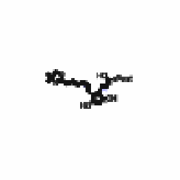 CCCCC[C@H](O)/C=C/[C@@H]1[C@@H](C/C=C\CCCC2=NC(C)(C)CO2)[C@@H](O)C[C@H]1O